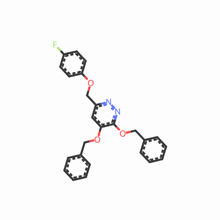 Fc1ccc(OCc2cc(OCc3ccccc3)c(OCc3ccccc3)nn2)cc1